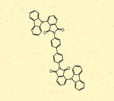 O=C1c2cccc(-n3c4ccccc4c4ccccc43)c2C(=O)N1c1ccc(-c2ccc(N3C(=O)c4cccc(-n5c6ccccc6c6ccccc65)c4C3=O)cc2)cc1